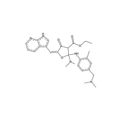 CCOC(=O)C1C(=O)C(=Cc2c[nH]c3ncccc23)OC1(Nc1ccc(CN(C)C)cc1C)N(C)C